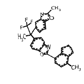 Cc1nc2cc(C(C)(c3ccc4oc(-c5ccc(C)c6ccccc56)nc4c3)C(F)(F)F)ccc2o1